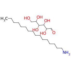 CCCCCCCCCCCCCCCCN.O=CC(O)C(O)C(O)C(O)CO